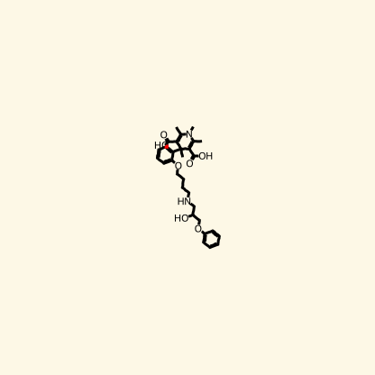 CC1=C(C(=O)O)C(C)(c2ccccc2OCCCCNCC(O)COc2ccccc2)C(C(=O)O)=C(C)N1C